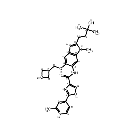 Cc1cc(-c2nc(C(=O)Nc3cc4c(cc3OCC3COC3)nc(CCC(C)(C)O)n4C)co2)ccn1